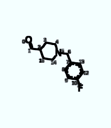 O=CC1CCN(Cc2ccc(F)cc2)CC1